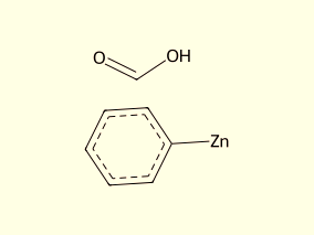 O=CO.[Zn][c]1ccccc1